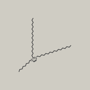 CCCCCCCCCCCCCCCCCCC1N(CCCCCCCC)C=CN1CCCCCCCCCCCCCCCCC